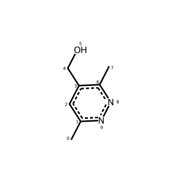 Cc1cc(CO)c(C)nn1